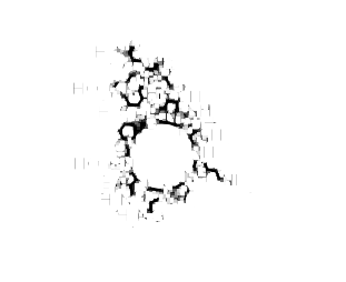 CCO[C@H](C(N)=O)[C@@H]1NC(=O)[C@H](CCC(N)=O)N(C)C(=O)[C@H](CC(C)C)NC(=O)[C@@H](CCCCN)NC(=O)C([C@@H](C)O)NC(=O)[C@H](N2C(=O)[C@@H](NC(=O)[C@H](CO)NC(=O)[C@H](CCC(N)=O)NC(=O)[C@@H](CC(=O)O)NC(=O)[C@H](C)[C@H](O)[C@H](C)CC(C)C)[C@@H](C)[C@@H]2C(N)=O)[C@@H](C)OC(=O)[C@@H]2CCCCN2C(=O)[C@@H](CC(=O)O)NC1=O